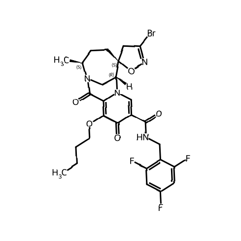 CCCCOc1c2n(cc(C(=O)NCc3c(F)cc(F)cc3F)c1=O)[C@@H]1CN(C2=O)[C@@H](C)CC[C@]12CC(Br)=NO2